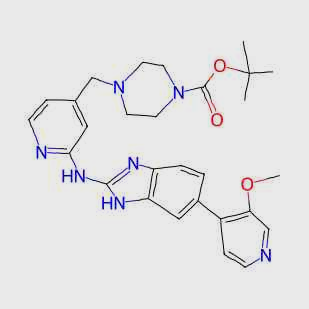 COc1cnccc1-c1ccc2nc(Nc3cc(CN4CCN(C(=O)OC(C)(C)C)CC4)ccn3)[nH]c2c1